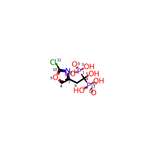 O=P(O)(O)C(O)(Cc1coc(Cl)n1)P(=O)(O)O